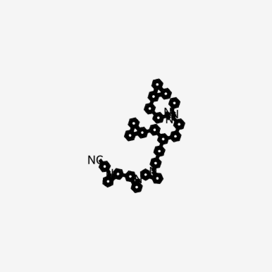 N#Cc1ccc(-n2c3ccccc3c3cc(-c4ccc5c(c4)c4ccccc4n5-c4ccc5c(c4)c4ccccc4n5-c4ccc(-c5ccc(-c6cc(-c7cccc(-c8cccc(-c9nc(-c%10ccccc%10)nc(-c%10cccc(-c%11cccc(-c%12ccc%13c%14ccccc%14c%14ccccc%14c%13c%12)c%11)c%10)n9)c8)c7)cc(-c7cccc(-c8ccc9c%10ccccc%10c%10ccccc%10c9c8)c7)c6)cc5)cc4)ccc32)cc1